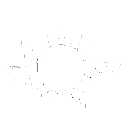 C=C(C)C(CC#N)[C@H]1OC(=O)[C@H](C)N(C)C(=O)[C@H](CC(C)C)NC(=O)[C@H](Cc2ccc3ccccc3c2)N(C)C(=O)[C@H](CC(C)C)NC(=O)C(CC(C)C)N(C)C(=O)C(CC(C)C)NC1=O